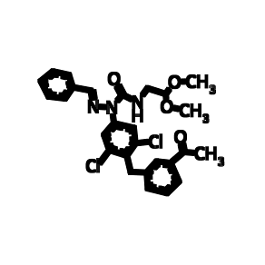 COC(CNC(=O)N(N=Cc1ccccc1)c1cc(Cl)c(Cc2cccc(C(C)=O)c2)c(Cl)c1)OC